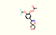 CC(=O)OOc1cc(C2=NOC3(CCOC3)C2)ccc1OC(F)F